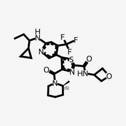 CCC(Nc1cc(C(F)(F)F)c(-c2sc(C(=O)NC3COC3)nc2C(=O)N2CCCC[C@@H]2C)cn1)C1CC1